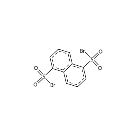 O=S(=O)(Br)c1cccc2c(S(=O)(=O)Br)cccc12